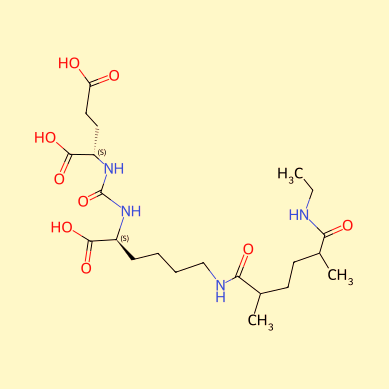 CCNC(=O)C(C)CCC(C)C(=O)NCCCC[C@H](NC(=O)N[C@@H](CCC(=O)O)C(=O)O)C(=O)O